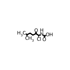 CC(C)CCC(=O)[C@H](Cl)NC(=O)O